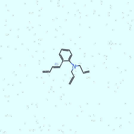 C=C/C=C/c1ccccc1N(CC=C)CC=C